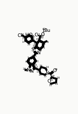 Cc1cc2nc(-c3ccc4c(c3)c(C3CCN(C(=O)[C@H]5CCCO5)CC3)nn4C)sc2c(-c2ccc(Cl)cc2)c1[C@H](OC(C)(C)C)C(=O)O